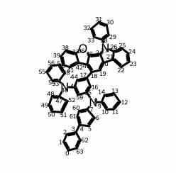 c1ccc(-c2ccc(N(c3ccccc3)c3cc(-c4cc5c6ccccc6n(-c6ccccc6)c5c5oc6ccccc6c45)cc(N(c4ccccc4)c4ccccc4)c3)cc2)cc1